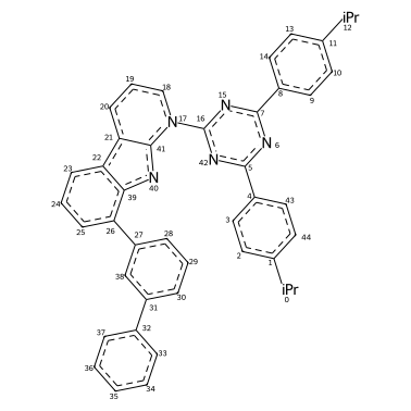 CC(C)c1ccc(-c2nc(-c3ccc(C(C)C)cc3)nc(-n3cccc4c5cccc(-c6cccc(-c7ccccc7)c6)c5nc3-4)n2)cc1